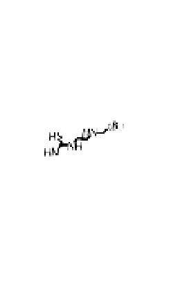 CC(C)(C)CNCCNC(=N)S